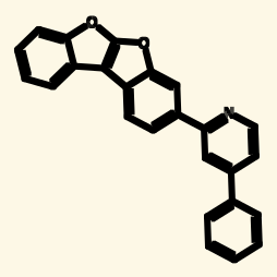 c1ccc(-c2ccnc(-c3ccc4c(c3)oc3oc5ccccc5c34)c2)cc1